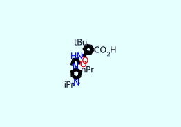 CCC[C@H]1C[C@H](N(C)C(C)C)CC[C@@H]1N1CC[C@H](NC(=O)c2cc(C(=O)O)cc(C(C)(C)C)c2)C1=O